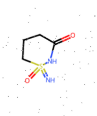 N=S1(=O)CCCC(=O)N1